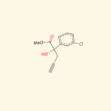 C#CCC(O)(C(=O)OC)c1cccc(Cl)c1